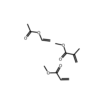 C=C(C)C(=O)OC.C=CC(=O)OC.C=COC(C)=O